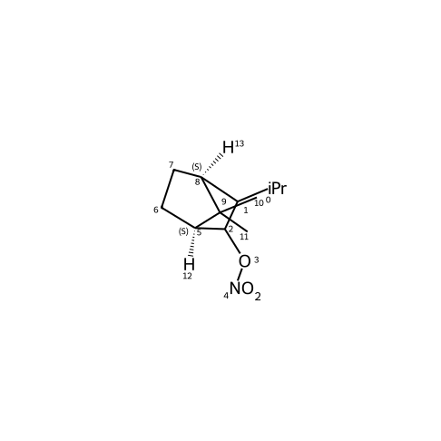 CC(C)C1C(O[N+](=O)[O-])[C@H]2CC[C@@H]1C2(C)C